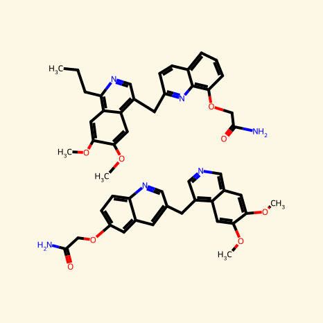 CCCc1ncc(Cc2ccc3cccc(OCC(N)=O)c3n2)c2cc(OC)c(OC)cc12.COc1cc2cncc(Cc3cnc4ccc(OCC(N)=O)cc4c3)c2cc1OC